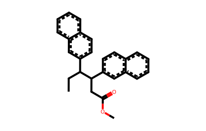 CCC(c1ccc2ccccc2c1)C(CC(=O)OC)c1ccc2ccccc2c1